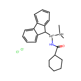 C[SiH](C)[Hf+2]([NH]C(=O)C1CCCCC1)[CH]1c2ccccc2-c2ccccc21.[Cl-].[Cl-]